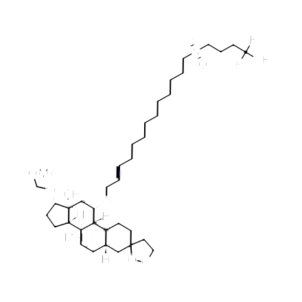 COCO[C@H]1CC[C@H]2[C@@H]3CC[C@H]4CC5(CCOO5)CC[C@]4(C)[C@H]3[C@@H](OC/C=C/CCCCCCCCCCS(=O)(=O)CCCC(F)(F)C(F)(F)F)C[C@]12C